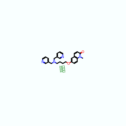 Cl.Cl.Cl.Cn1c(=O)ccc2cc(OCCCCN(Cc3cccnc3)Cc3cccnc3)ccc21